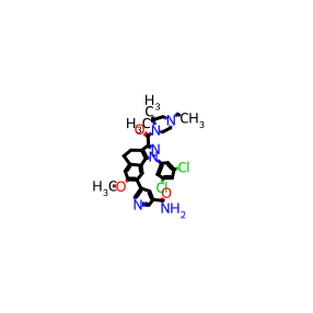 CCN1CCN(C(=O)c2nn(-c3cc(Cl)cc(Cl)c3)c3c2CCc2cc(OC)c(-c4cncc(C(N)=O)c4)cc2-3)C(C)(C)C1